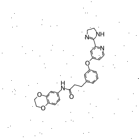 O=C(CCc1cccc(Oc2ccnc(C3=NCCN3)c2)c1)Nc1ccc2c(c1)OCCO2